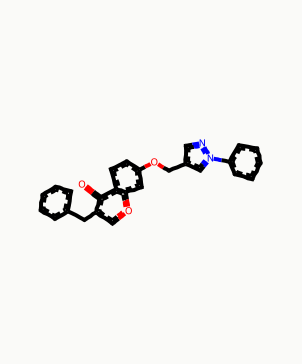 O=c1c(Cc2ccccc2)coc2cc(OCc3cnn(-c4ccccc4)c3)ccc12